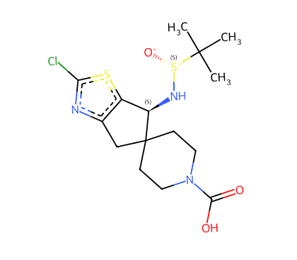 CC(C)(C)[S@@+]([O-])N[C@@H]1c2sc(Cl)nc2CC12CCN(C(=O)O)CC2